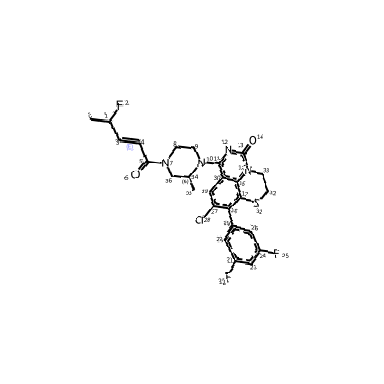 CC(F)/C=C/C(=O)N1CCN(c2nc(=O)n3c4c(c(-c5cc(F)cc(F)c5)c(Cl)cc24)SCC3)[C@@H](C)C1